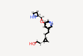 OCC[C@H]1C[C@@H]1CCc1cncc(OC[C@@H]2CCN2)c1